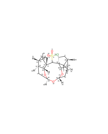 CC1(C)[C@@H]2CC[C@]13C(S(=O)(=O)Cl)[C@]14CC[C@@H]([C@@H]5C[C@H](O[C@H]6C[C@H]2[C@H]3O6)O[C@H]51)C4(C)C